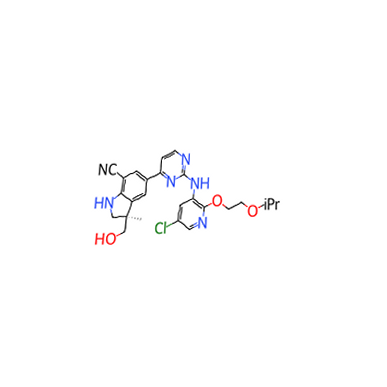 CC(C)OCCOc1ncc(Cl)cc1Nc1nccc(-c2cc(C#N)c3c(c2)[C@@](C)(CO)CN3)n1